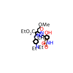 CCOC(=O)c1c(CC(=O)OC)c2nc(-c3cc(N[SH](=O)=O)ccc3O)nn2/c1=C\c1ccc(N(CC)CC)cc1C